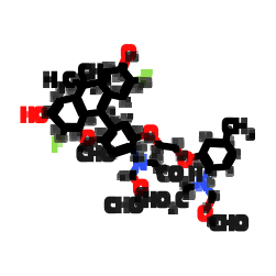 Cc1ccc(N(COC=O)CC(=O)O)c(OCCOc2cc(C3=C4C=C(F)C(=O)C=C4C(C)(C)c4cc(O)c(F)cc43)c(OC=O)cc2N(COC=O)CC(=O)O)c1